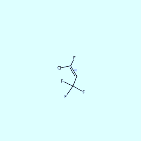 F/C(Cl)=C/C(F)(F)F